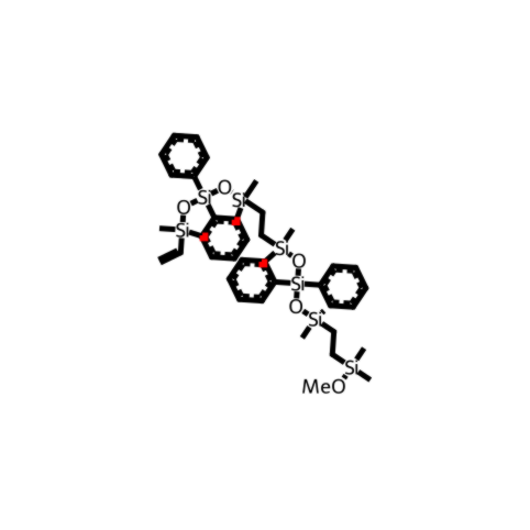 C=C[Si](C)(C)O[Si](O[Si](C)(C)CC[Si](C)(C)O[Si](O[Si](C)(C)CC[Si](C)(C)OC)(c1ccccc1)c1ccccc1)(c1ccccc1)c1ccccc1